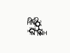 O=C1COc2ccc(-c3c[nH]nc3-c3ccccn3)cc2N1